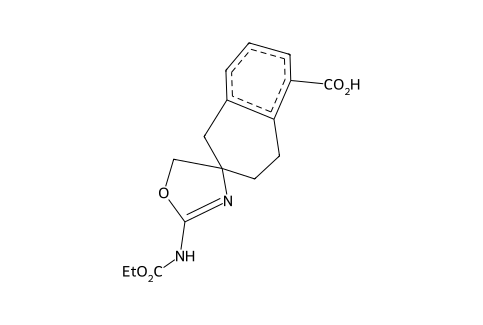 CCOC(=O)NC1=NC2(CCc3c(cccc3C(=O)O)C2)CO1